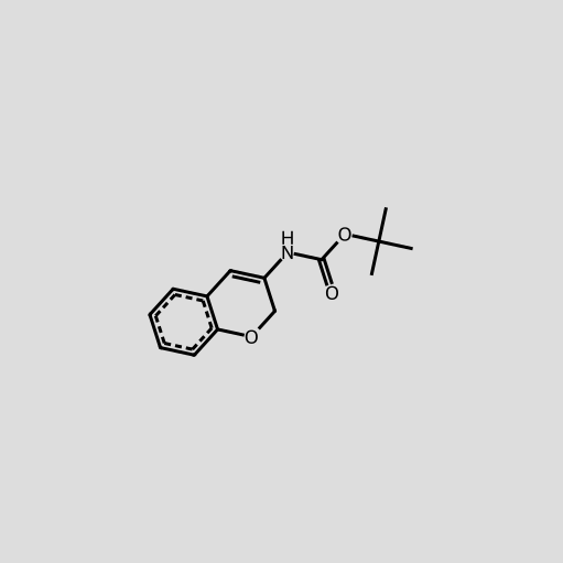 CC(C)(C)OC(=O)NC1=Cc2ccccc2OC1